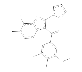 COc1cc(C(=O)c2c(-c3cccs3)oc3c(O)c(C)ccc23)cc(C)c1C